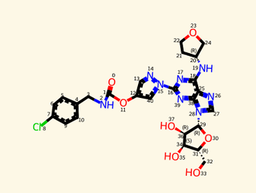 O=C(NCc1ccc(Cl)cc1)Oc1cnn(-c2nc(N[C@@H]3CCOC3)c3ncn([C@@H]4O[C@H](CO)[C@@H](O)[C@H]4O)c3n2)c1